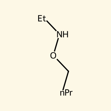 [CH2]CNOCCCC